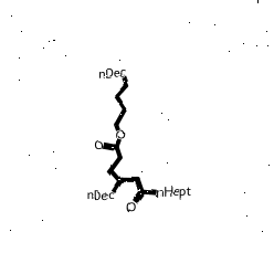 CCCCCCCCCCCCCCOC(=O)CCC(CCCCCCCCCC)CC(=O)CCCCCCC